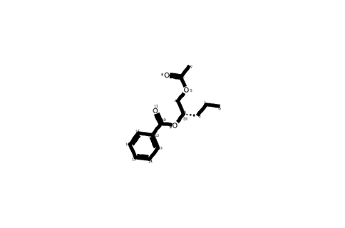 CCC[C@@H](COC(C)=O)OC(=O)c1ccccc1